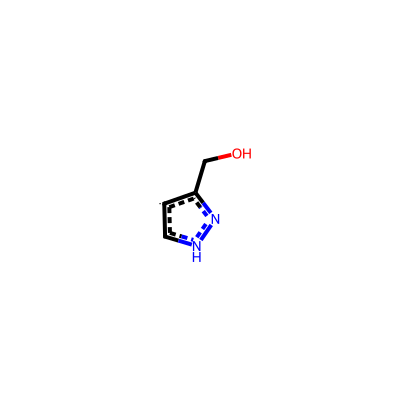 OCc1[c]c[nH]n1